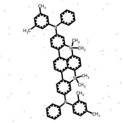 Cc1cc(C)cc(N(c2ccccc2)c2ccc3c(c2)[Si](C)(C)c2ccc4c5c(ccc-3c25)-c2ccc(N(c3ccccc3)c3ccc(C)cc3C)cc2[Si]4(C)C)c1